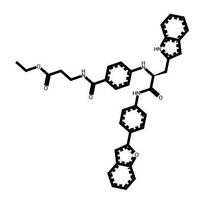 CCOC(=O)CCNC(=O)c1ccc(N[C@@H](Cc2cc3ccccc3[nH]2)C(=O)Nc2ccc(-c3cc4ccccc4o3)cc2)cc1